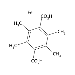 Cc1c(C)c(C(=O)O)c(C)c(C)c1C(=O)O.[Fe]